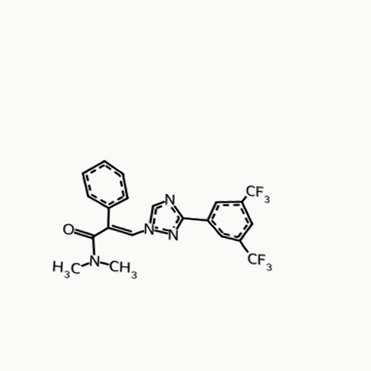 CN(C)C(=O)/C(=C/n1cnc(-c2cc(C(F)(F)F)cc(C(F)(F)F)c2)n1)c1ccccc1